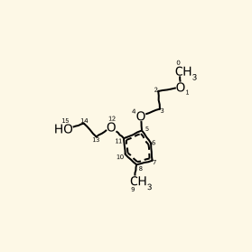 COCCOc1ccc(C)cc1OCCO